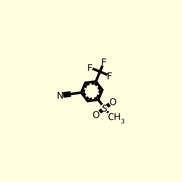 CS(=O)(=O)c1cc(C#N)cc(C(F)(F)F)c1